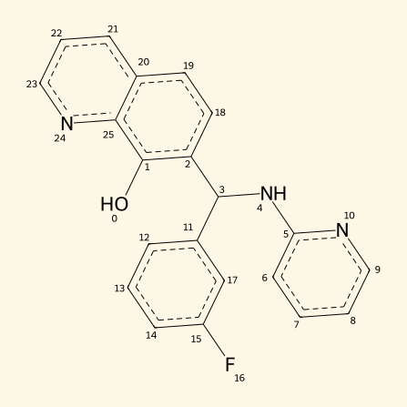 Oc1c(C(Nc2ccccn2)c2cccc(F)c2)ccc2cccnc12